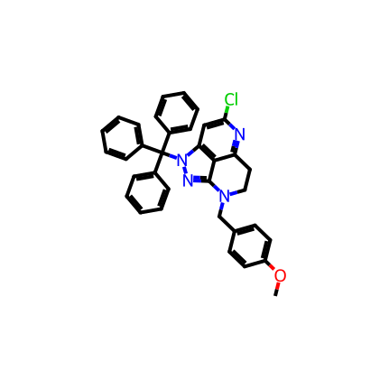 COc1ccc(CN2CCc3nc(Cl)cc4c3c2nn4C(c2ccccc2)(c2ccccc2)c2ccccc2)cc1